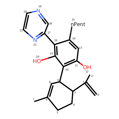 C=C(C)C1CCC(C)=CC1c1c(O)cc(CCCCC)c(-c2cnccn2)c1O